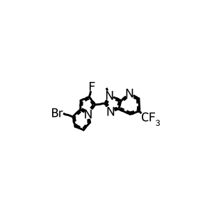 Cn1c(-c2c(F)cc3c(Br)cccn23)nc2cc(C(F)(F)F)cnc21